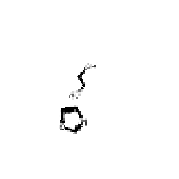 OCCO.c1cocn1